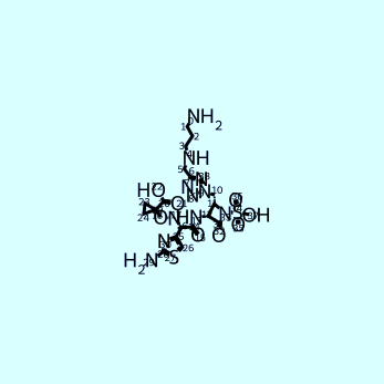 NCCCNCc1nnn(C[C@H]2[C@H](NC(=O)C(=NOC3(C(=O)O)CC3)c3csc(N)n3)C(=O)N2S(=O)(=O)O)n1